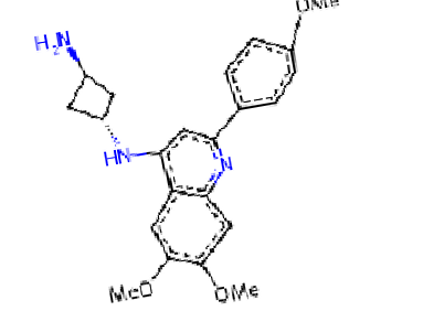 COc1ccc(-c2cc(N[C@H]3C[C@H](N)C3)c3cc(OC)c(OC)cc3n2)cc1